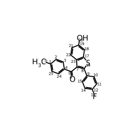 Cc1ccc(C(=O)c2c(-c3ccc(F)cc3)sc3cc(O)ccc23)cc1